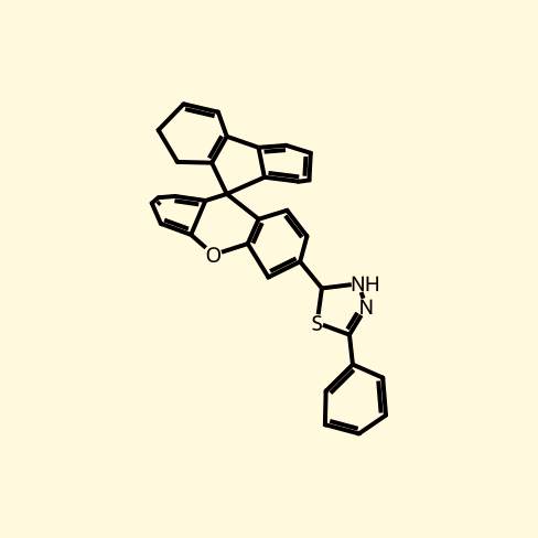 C1=CC2=C(CC1)C1(c3ccccc3Oc3cc(C4NN=C(c5ccccc5)S4)ccc31)c1ccccc12